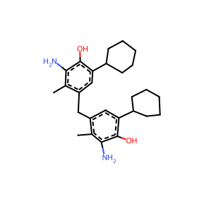 Cc1c(Cc2cc(C3CCCCC3)c(O)c(N)c2C)cc(C2CCCCC2)c(O)c1N